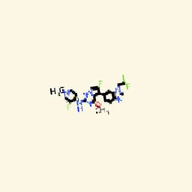 COc1nc(N[C@@H]2CCN(C)C[C@@H]2F)nn2cc(F)c(-c3ccc4ncn(CC(F)F)c4c3)c12